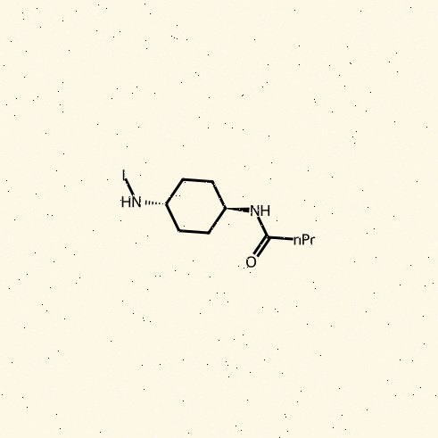 CCCC(=O)N[C@H]1CC[C@H](NI)CC1